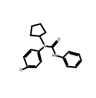 O=C(Nc1ccccc1)N(c1ccc(Cl)cc1)C1CCCC1